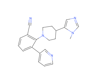 Cn1cncc1C1CCN(c2c(C#N)cccc2-c2cccnc2)CC1